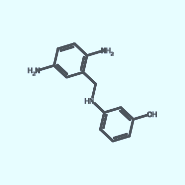 Nc1ccc(N)c(CNc2cccc(O)c2)c1